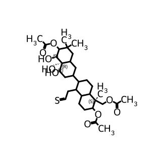 CC(=O)OC[C@@]1(C)C(OC(C)=O)CCC2C(CC=S)C(C3CC4CC(C)(C)C(OC(C)=O)[C@H](O)[C@]4(CO)[C@H](O)C3)CCC21